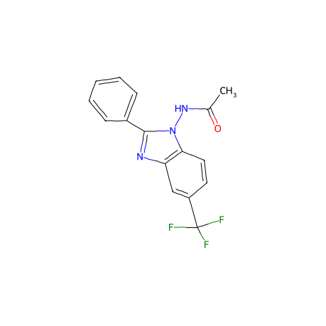 CC(=O)Nn1c(-c2ccccc2)nc2cc(C(F)(F)F)ccc21